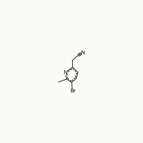 Cc1nc(CC#N)ccc1Br